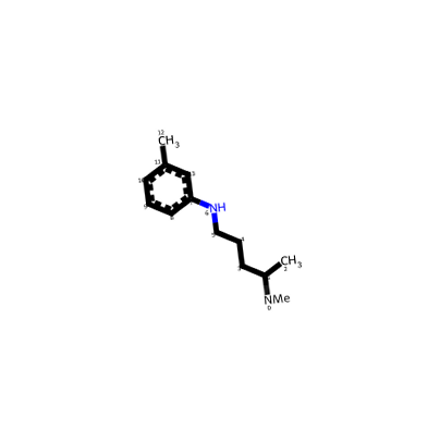 CNC(C)CCCNc1cccc(C)c1